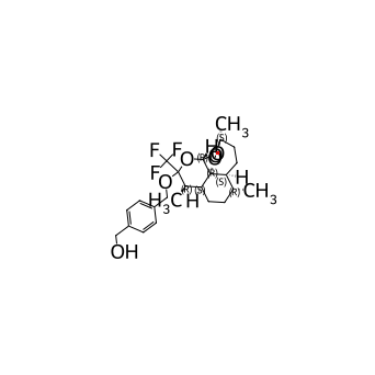 C[C@@H]1CC[C@H]2[C@@H](C)C(OCc3ccc(CO)cc3)(C(F)(F)F)O[C@@H]3O[C@]4(C)CC[C@@H]1[C@]32OO4